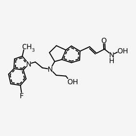 Cc1cc2ccc(F)cc2n1CCN(CCO)C1CCc2cc(/C=C/C(=O)NO)ccc21